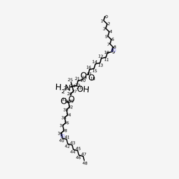 CCCCCCCC/C=C\CCCCCCCC(=O)OCCC(O)C(C)(N)CCOC(=O)CCCCCCC/C=C\CCCCCCCC